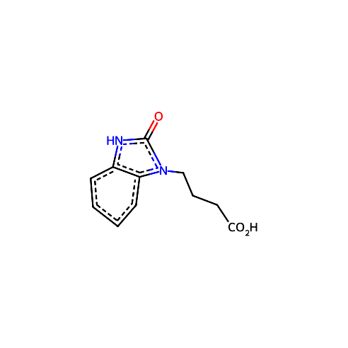 O=C(O)CCCn1c(=O)[nH]c2ccccc21